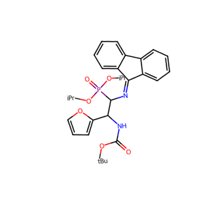 CC(C)OP(=O)(OC(C)C)C(N=C1c2ccccc2-c2ccccc21)C(NC(=O)OC(C)(C)C)c1ccco1